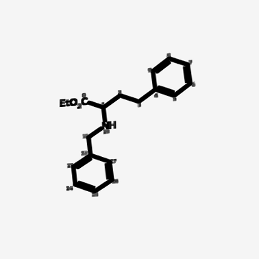 CCOC(=O)C(CCc1ccccc1)NCc1ccccc1